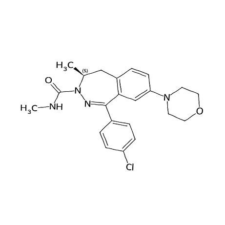 CNC(=O)N1N=C(c2ccc(Cl)cc2)c2cc(N3CCOCC3)ccc2C[C@@H]1C